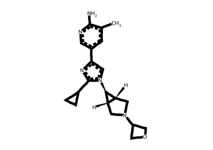 Cc1cc(-c2cn([C@H]3[C@@H]4CN(C5COC5)C[C@@H]43)c(C3CC3)n2)cnc1N